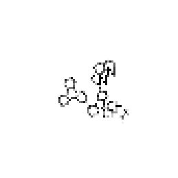 CC1(C)c2ccc(-c3ccc4ccc5cccnc5c4n3)cc2-c2c(-c3ccc4c5ccccc5c5ccccc5c4c3)cccc21